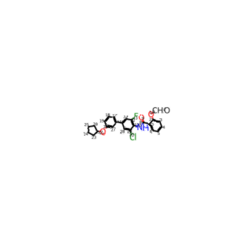 O=COc1ccccc1C(=O)Nc1c(F)cc(-c2cccc(OC3CCCC3)c2)cc1Cl